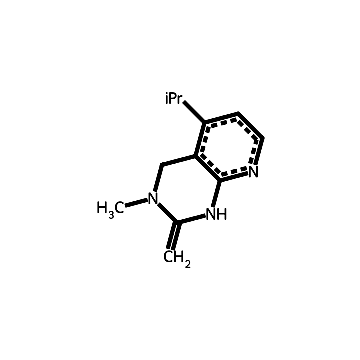 C=C1Nc2nccc(C(C)C)c2CN1C